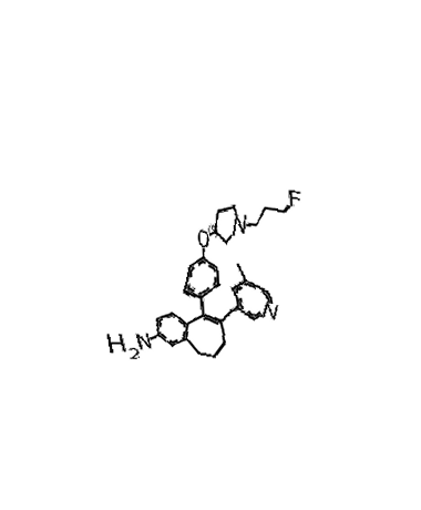 Cc1cncc(C2=C(c3ccc(O[C@H]4CCN(CCCF)C4)cc3)c3ccc(N)cc3CCC2)c1